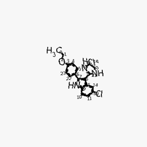 CCOc1ccc(-c2[nH]c3ccc(Cl)cc3c2C2=NCCN2)cc1.Cl